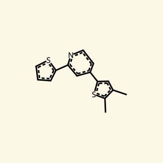 Cc1cc(-c2ccnc(-c3cccs3)c2)sc1C